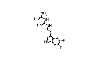 N=C(N)NC(=N)NCCc1c[nH]c2cc(F)c(F)cc12